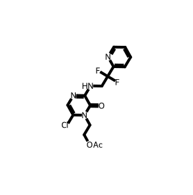 CC(=O)OCCn1c(Cl)cnc(NCC(F)(F)c2ccccn2)c1=O